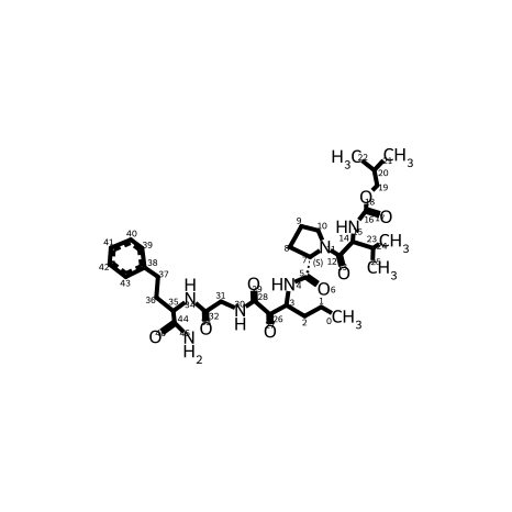 CCCC(NC(=O)[C@@H]1CCCN1C(=O)C(NC(=O)OCC(C)C)C(C)C)C(=O)C(=O)NCC(=O)NC(CCc1ccccc1)C(N)=O